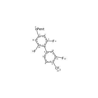 CCCCCc1cc(F)c(-c2ccc(C(F)(F)F)c(F)c2)c(F)c1